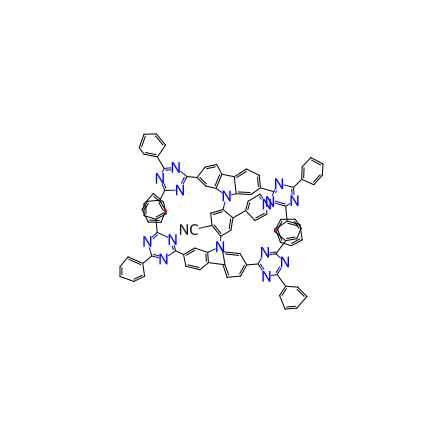 N#Cc1cc(-n2c3cc(-c4nc(-c5ccccc5)nc(-c5ccccc5)n4)ccc3c3ccc(-c4nc(-c5ccccc5)nc(-c5ccccc5)n4)cc32)c(-c2ccncc2)cc1-n1c2cc(-c3nc(-c4ccccc4)nc(-c4ccccc4)n3)ccc2c2ccc(-c3nc(-c4ccccc4)nc(-c4ccccc4)n3)cc21